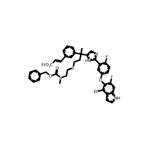 CCOC(=O)/C=C/c1cccc(C(C)(CCSCCN(C)C(=O)OCc2ccccc2)c2cnc(-c3cc(Oc4c(F)cc5[nH]ccc5c4CC)ccc3F)[nH]2)c1